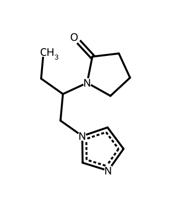 CCC(Cn1ccnc1)N1CCCC1=O